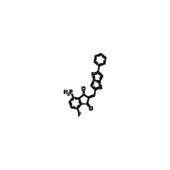 O=C1/C(=C/c2cc3sc(-c4ccccc4)cc3s2)C(=O)c2c(P)ccc(F)c21